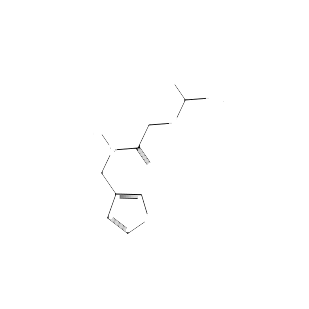 CC(C)OCC(=O)N(C)Cc1ccsc1